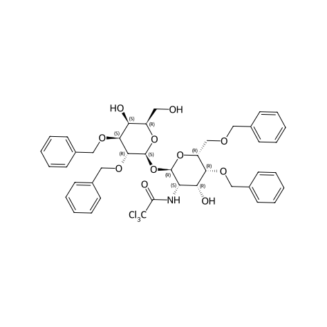 O=C(N[C@@H]1[C@@H](O[C@@H]2O[C@H](CO)[C@H](O)[C@H](OCc3ccccc3)[C@H]2OCc2ccccc2)O[C@H](COCc2ccccc2)[C@H](OCc2ccccc2)[C@@H]1O)C(Cl)(Cl)Cl